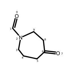 O=CN1CCCC(=O)CC1